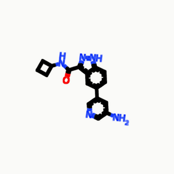 Nc1cncc(-c2ccc3[nH]nc(C(=O)NC4CCC4)c3c2)c1